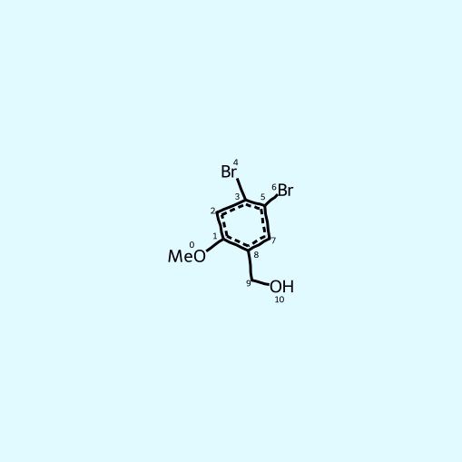 COc1cc(Br)c(Br)cc1CO